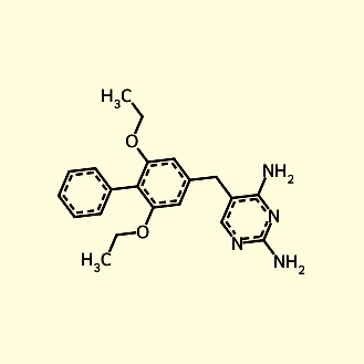 CCOc1cc(Cc2cnc(N)nc2N)cc(OCC)c1-c1ccccc1